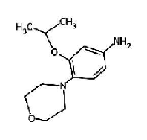 CC(C)Oc1cc(N)ccc1N1CCOCC1